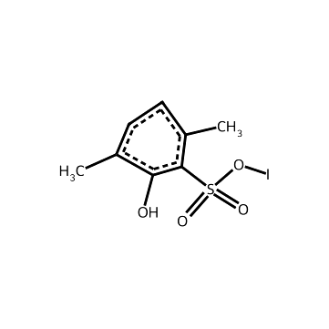 Cc1ccc(C)c(S(=O)(=O)OI)c1O